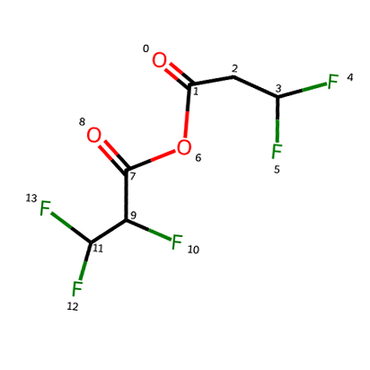 O=C(CC(F)F)OC(=O)C(F)C(F)F